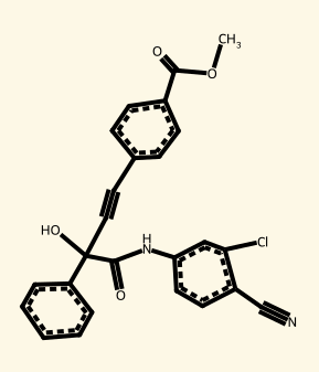 COC(=O)c1ccc(C#CC(O)(C(=O)Nc2ccc(C#N)c(Cl)c2)c2ccccc2)cc1